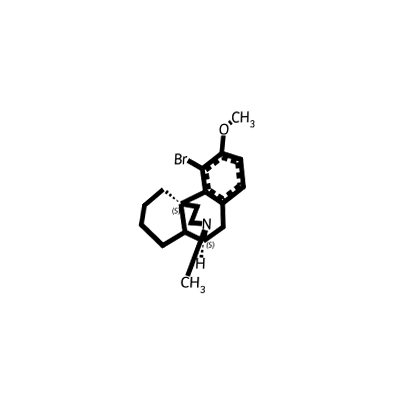 COc1ccc2c(c1Br)[C@]13CCCCC1[C@H](C2)N(C)CC3